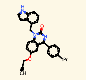 C#CCOc1ccc2c(c1)c(-c1ccc(C(C)C)cc1)nc(=O)n2Cc1cccc2[nH]ccc12